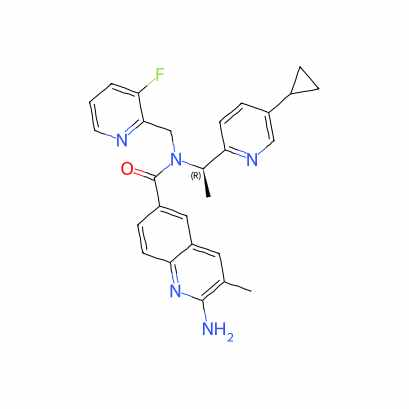 Cc1cc2cc(C(=O)N(Cc3ncccc3F)[C@H](C)c3ccc(C4CC4)cn3)ccc2nc1N